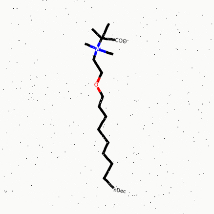 CCCCCCCCCCCCCCCCCCOCC[N+](C)(C)C(C)(C)C(=O)[O-]